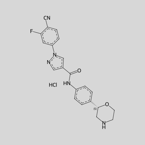 Cl.N#Cc1ccc(-n2cc(C(=O)Nc3ccc([C@H]4CNCCO4)cc3)cn2)cc1F